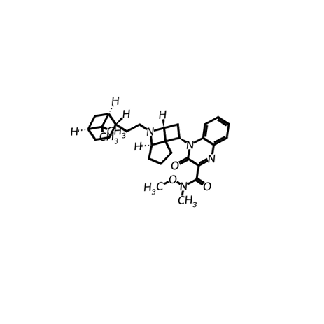 CON(C)C(=O)c1nc2ccccc2n([C@@H]2C[C@H]3N(CC[C@@H]4CC[C@H]5C[C@@H]4C5(C)C)[C@@H]4CCCC432)c1=O